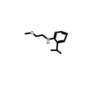 COCCNc1ccccc1C(C)C